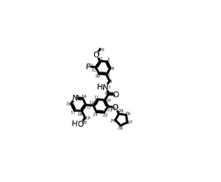 COc1ccc(CNC(=O)c2cc(-c3cnccc3CO)ccc2OC2CCCC2)cc1F